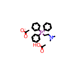 CC(=O)O.CC(=O)[O-].CN(C)CC[P+](c1ccccc1)(c1ccccc1)c1ccccc1